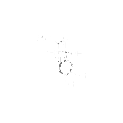 [2H][C@](O)(c1ccc(O)c(O)c1)[C@]([2H])(N)C(=O)OC